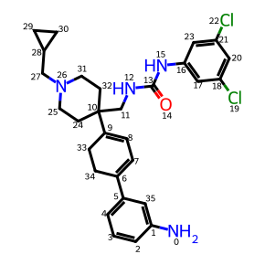 Nc1cccc(C2=CC=C(C3(CNC(=O)Nc4cc(Cl)cc(Cl)c4)CCN(CC4CC4)CC3)CC2)c1